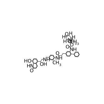 Cc1cc(CNC[C@H](O)c2ccc(O)c3[nH]c(=O)ccc23)ccc1NC(=O)CCc1ccc(-c2ccccc2)c(NC(=O)O[C@@H]2C[C@@H]3[C@H]4O[C@H]4[C@H](C2)[N+]3(C)C)c1